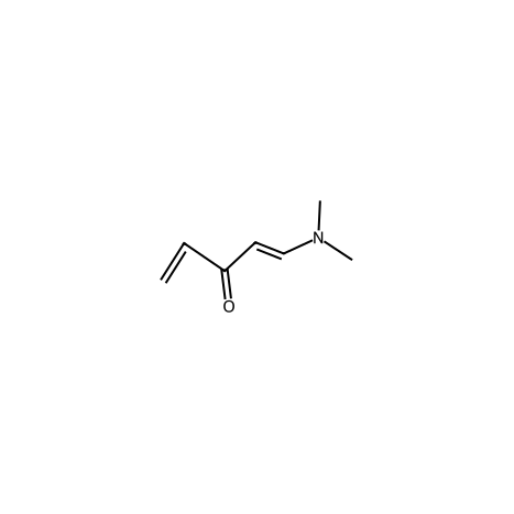 C=CC(=O)C=CN(C)C